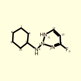 FC1=NN(NC2CCCCC2)N[C]=C1